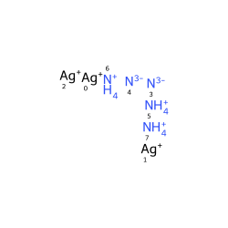 [Ag+].[Ag+].[Ag+].[N-3].[N-3].[NH4+].[NH4+].[NH4+]